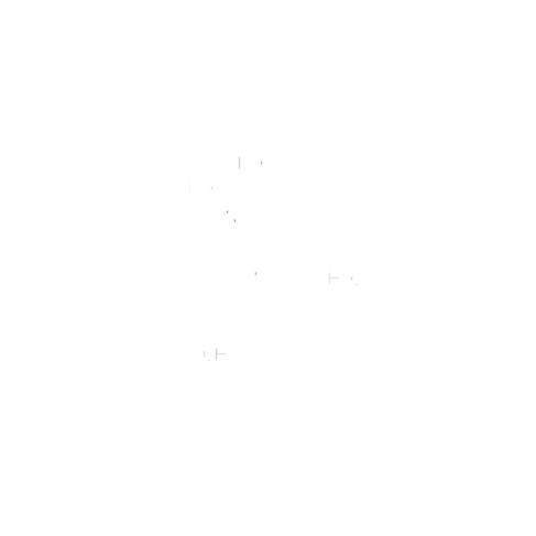 Cc1ccccc1-c1ccc(N(C)c2ccc(-c3ccccc3C)cc2C)c(C)c1